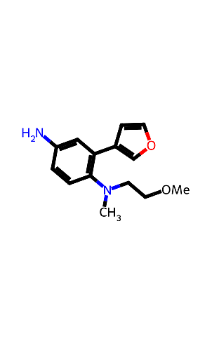 COCCN(C)c1ccc(N)cc1-c1ccoc1